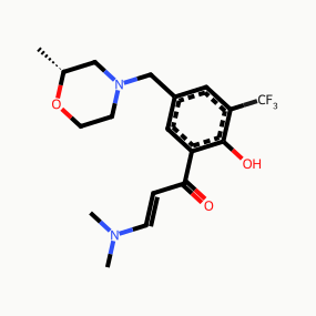 C[C@@H]1CN(Cc2cc(C(=O)C=CN(C)C)c(O)c(C(F)(F)F)c2)CCO1